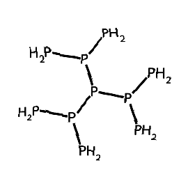 PP(P)P(P(P)P)P(P)P